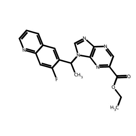 CCOC(=O)c1cnc2ncn(C(C)c3cc4cccnc4cc3F)c2n1